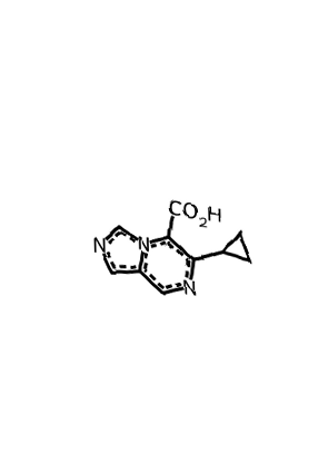 O=C(O)c1c(C2CC2)ncc2cncn12